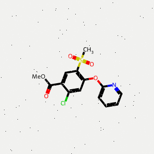 COC(=O)c1cc(S(C)(=O)=O)c(Oc2ccccn2)cc1Cl